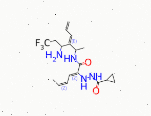 C=C/C=C(\C(N)CC(F)(F)F)C(C)NC(=O)/C(=C/C=C\C)NNC(=O)C1CC1